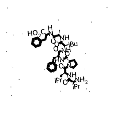 CC[C@H](C)[C@H](NC(=O)[C@H](Cc1ccccc1)NC(=O)[C@@H]1CCCN1C(=O)[C@H](CC(C)C)NC(=O)[C@@H](N)C(C)C)C(=O)N[C@@H](C)C(=O)N[C@@H](Cc1ccccc1)C(=O)O